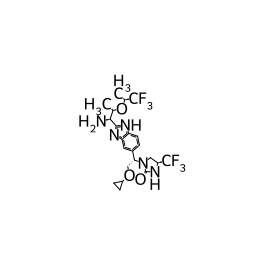 C[C@H](O[C@H](C)[C@H](N)c1nc2cc([C@@H](COC3CC3)N3C[C@@H](C(F)(F)F)NC3=O)ccc2[nH]1)C(F)(F)F